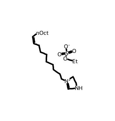 CCCCCCCC/C=C\CCCCCCCC[N+]1=CNCC1.CCOS(=O)(=O)[O-]